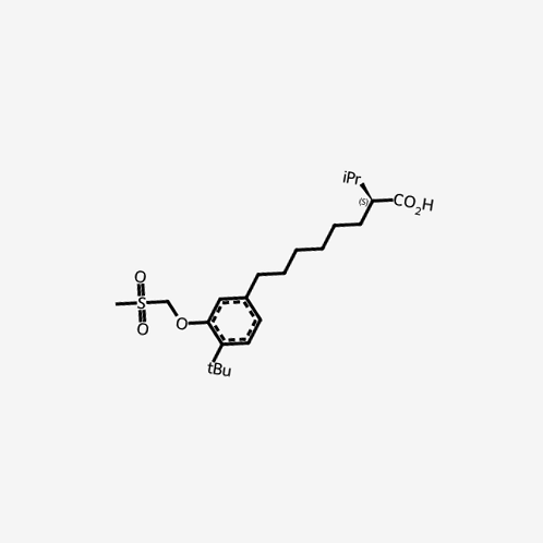 CC(C)[C@H](CCCCCCc1ccc(C(C)(C)C)c(OCS(C)(=O)=O)c1)C(=O)O